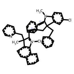 CN1/C(=C/C=C/C2=[N+](C)c3c(ccc4ccccc34)C2(C)Cc2ccccn2)C(Cc2ccccc2)(Cc2ccccc2)c2cc(Cl)ccc21